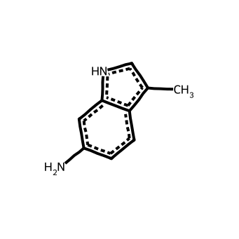 Cc1c[nH]c2cc(N)ccc12